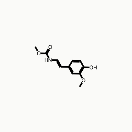 COC(=O)NC=Cc1ccc(O)c(OC)c1